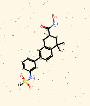 CCS(=O)(=O)Nc1cccc(-c2ccc3c(c2)CC(C(=O)NO)CC3(C)C)c1